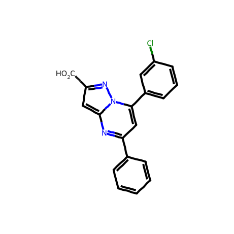 O=C(O)c1cc2nc(-c3ccccc3)cc(-c3cccc(Cl)c3)n2n1